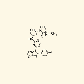 CCNC(=O)N(C)CCC(CC)Nc1nccc(-c2c(-c3ccc(F)cc3)nc3occn23)n1